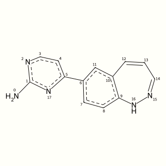 Nc1nccc(-c2ccc3c(c2)C=CC=NN3)n1